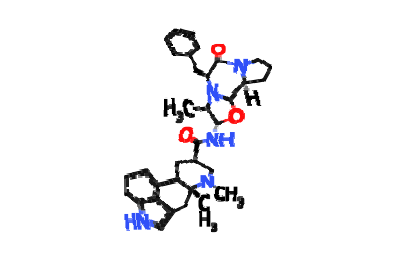 CC1[C@@H](NC(=O)[C@@H]2CC3c4cccc5[nH]cc(c45)C[C@@]3(C)N(C)C2)OC2[C@@H]3CCCN3C(=O)[C@H](Cc3ccccc3)N12